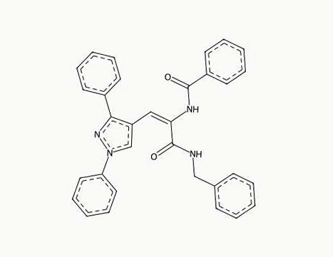 O=C(NCc1ccccc1)/C(=C\c1cn(-c2ccccc2)nc1-c1ccccc1)NC(=O)c1ccccc1